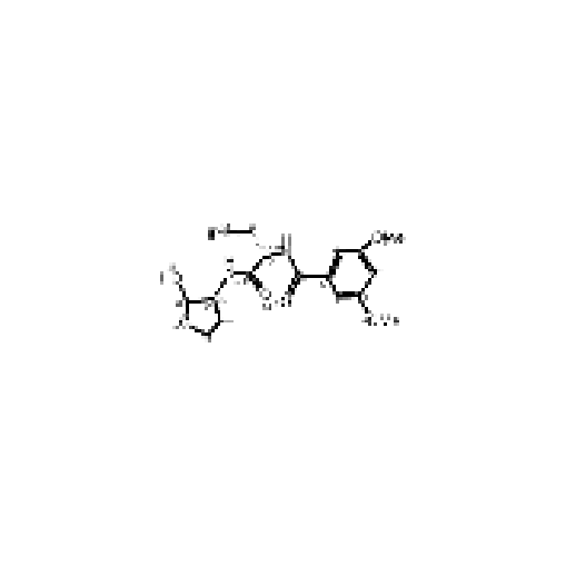 COc1cc(OC)cc(C(=O)N[C@@H](CC(C)C)C(=O)N[C@H]2CCOC2O)c1